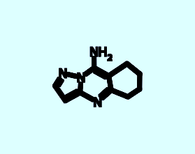 Nc1c2c(nc3ccnn13)CCCC2